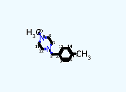 Cc1c#cc(CN2CCN(C)CC2)cc1